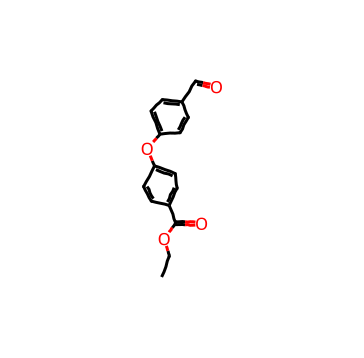 CCOC(=O)c1ccc(Oc2ccc(C=O)cc2)cc1